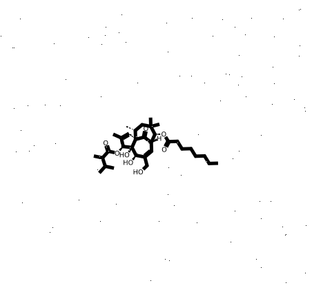 CCCCCCCC(=O)O[C@@H]1[C@@H]2C=C(CO)[C@@H](O)[C@]3(O)[C@@H](OC(=O)C(C)C(C)C)C(C)=C[C@@]3(C2=O)[C@H](C)CC1(C)C